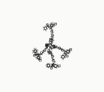 O=C(c1ccccc1)n1cc(COCCOCCn2cc(CN(CCN(Cc3cn(CCOCCOCc4cn(C(=O)c5ccccc5)c5ccc(Cl)cc45)nn3)Cc3cn(CCOCCOCc4cn(C(=O)c5ccccc5)c5ccc(Cl)cc45)nn3)Cc3cn(CCOCCOCc4cn(C(=O)c5ccccc5)c5ccc(Cl)cc45)nn3)nn2)c2cc(Cl)ccc21